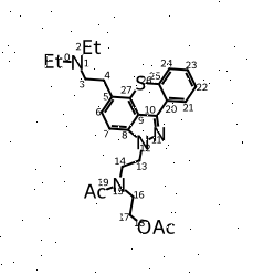 CCN(CC)CCc1ccc2c3c(nn2CCN(CCOC(C)=O)C(C)=O)-c2ccccc2Sc13